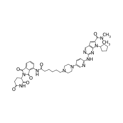 CN(C)C(=O)c1cc2cnc(Nc3ccc(N4CCN(CCCCCC(=O)Nc5cccc6c5C(=O)N(C5CCC(=O)NC5=O)C6=O)CC4)cn3)nc2n1C1CCCC1